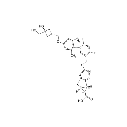 Cc1cc(OC[C@H]2C[C@@](O)(CO)C2)cc(C)c1-c1cc(COc2cc3c(cn2)[C@H]2[C@@H](C3)[C@@H]2C(=O)O)c(F)cc1F